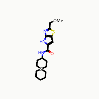 COCc1nc2[nH]c(C(=O)NC3CC[Si]4(CCCCC4)CC3)cc2s1